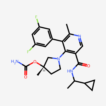 Cc1ncc(C(=O)NC(C)C2CC2)c(N2CC[C@](C)(OC(N)=O)C2)c1-c1cc(F)cc(F)c1